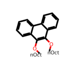 CCCCCCCCOc1c(OCCCCCCCC)c2ccccc2c2ccccc12